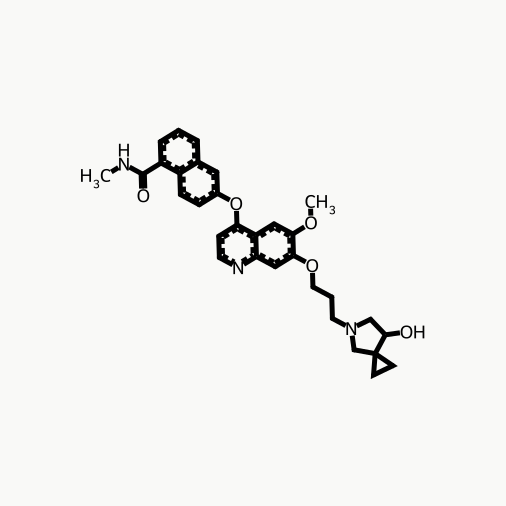 CNC(=O)c1cccc2cc(Oc3ccnc4cc(OCCCN5CC(O)C6(CC6)C5)c(OC)cc34)ccc12